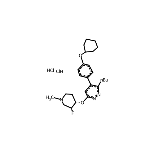 CCCCc1nnc(O[C@H]2CCN(C)C[C@@H]2F)cc1-c1ccc(OC2CCCCC2)cc1.Cl.Cl